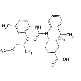 COCC(C)Oc1nc(C)ccc1NC(=O)N(c1ccccc1C(C)C)C1CCC(C(=O)O)CC1